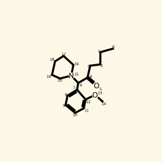 CCCCC(=O)C(c1ccccc1OC)N1CCCCC1